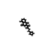 Cc1cccc2[nH]c(C(=O)NCCN3CCCC3)cc(=O)c12